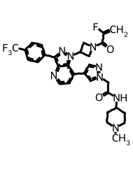 C=C(F)C(=O)N1CC(n2nc(-c3ccc(C(F)(F)F)cc3)c3nccc(-c4cnn(CC(=O)NC5CCN(C)CC5)c4)c32)C1